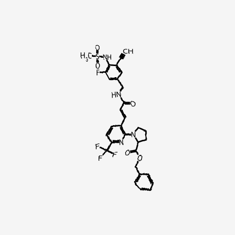 C#Cc1cc(CNC(=O)C=Cc2ccc(C(F)(F)F)nc2N2CCCC2C(=O)OCc2ccccc2)cc(F)c1NS(C)(=O)=O